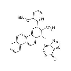 CCCCOc1cccnc1C1C=c2c(ccc3c4c(ccc23)CC=CC=4)C(C)C1S(=O)(=O)O.O=C1N=CN=C2N=CN=C12